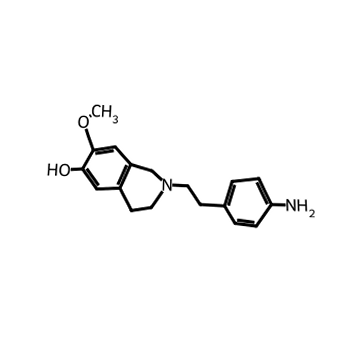 COc1cc2c(cc1O)CCN(CCc1ccc(N)cc1)C2